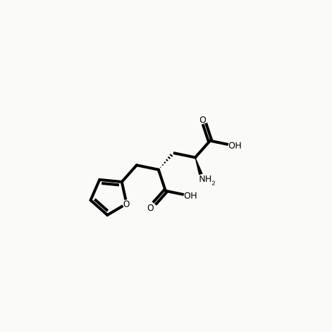 N[C@@H](C[C@@H](Cc1ccco1)C(=O)O)C(=O)O